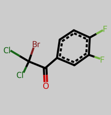 O=C(c1ccc(F)c(F)c1)C(Cl)(Cl)Br